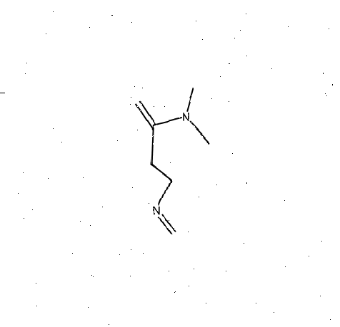 C=NCCC(=C)N(C)C